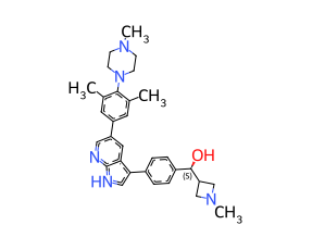 Cc1cc(-c2cnc3[nH]cc(-c4ccc([C@@H](O)C5CN(C)C5)cc4)c3c2)cc(C)c1N1CCN(C)CC1